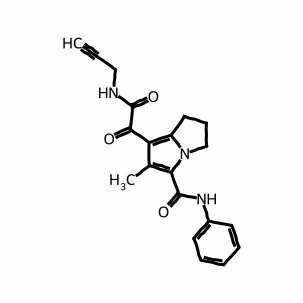 C#CCNC(=O)C(=O)c1c(C)c(C(=O)Nc2ccccc2)n2c1CCC2